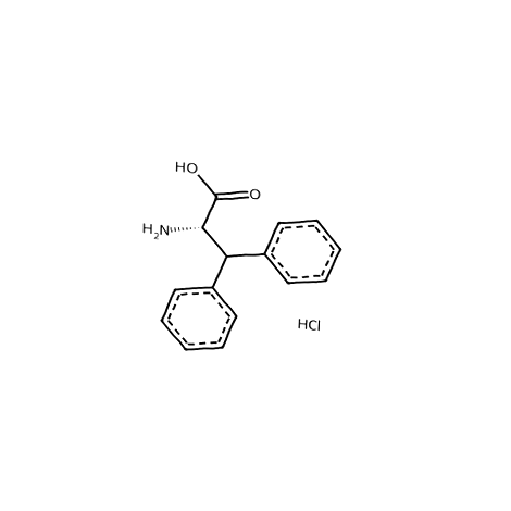 Cl.N[C@H](C(=O)O)C(c1ccccc1)c1ccccc1